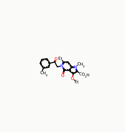 CCOc1c(C(=O)O)n(C)c2cc(CC)n(CC(=O)c3cccc(C)c3)c(=O)c12